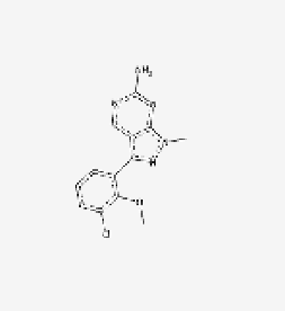 COc1c(Cl)cccc1-c1nn(C)c2nc(N)ncc12